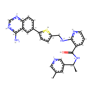 Cc1cncc([C@H](C)NC(=O)c2cccnc2NCc2ccc(-c3ccc4ncnc(N)c4c3)s2)c1